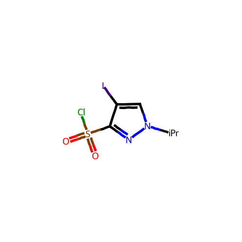 CC(C)n1cc(I)c(S(=O)(=O)Cl)n1